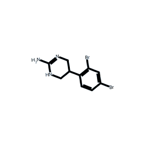 NC1=NCC(c2ccc(Br)cc2Br)CN1